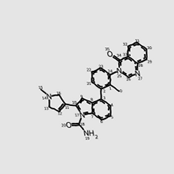 Cc1c(-c2cccc3c2cc(C2=CCN(C)C2)n3C(N)=O)cccc1-n1cnc2ccccc2c1=O